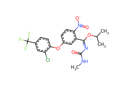 CNC(=O)N=C(OC(C)C)c1cc(Oc2ccc(C(F)(F)F)cc2Cl)ccc1[N+](=O)[O-]